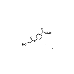 COC(=O)c1ccc(OC(=O)CCO)cc1